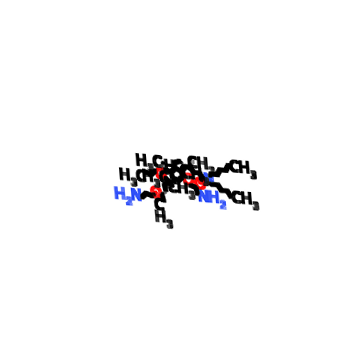 CCCCCCN(CCCCCC)C(=O)CC[C@@H](C)[C@H]1CC[C@H]2C([C@@H](CC)OCCCC)[C@@H](C(C)(C)CC[C@H](CC)OCCCN)C[C@H](OCCCN)[C@]12C